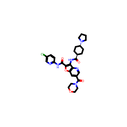 O=C(Nc1ccc(Cl)cn1)c1oc2cc(C(=O)N3CCOCC3)cnc2c1NC(=O)[C@H]1CC[C@H](N2CCCC2)CC1